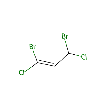 ClC(Br)=CC(Cl)Br